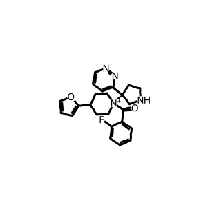 O=C(c1ccccc1F)[N+]1([C@@]2(c3cccnn3)CCNC2)CCC(c2ccco2)CC1